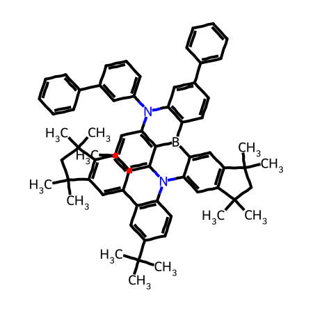 Cc1cc2c3c(c1)N(c1ccc(C(C)(C)C)cc1-c1ccc4c(c1)C(C)(C)CC4(C)C)c1cc4c(cc1B3c1ccc(-c3ccccc3)cc1N2c1cccc(-c2ccccc2)c1)C(C)(C)CC4(C)C